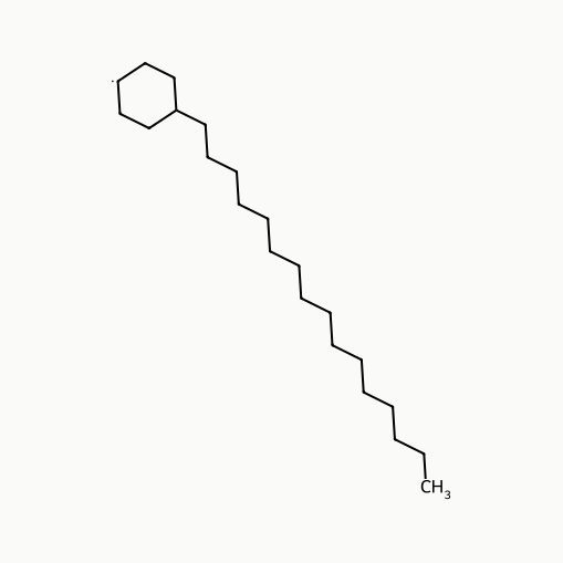 CCCCCCCCCCCCCCCCC1CC[CH]CC1